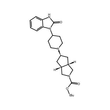 CC(C)(C)OC(=O)N1C[C@H]2C[C@H](N3CCC(n4c(=O)[nH]c5ccccc54)CC3)C[C@H]2C1